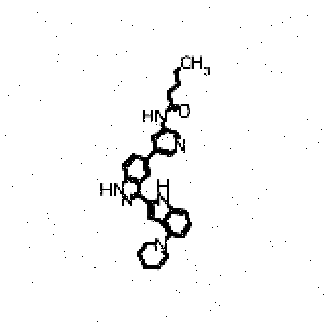 CCCCC(=O)Nc1cncc(-c2ccc3[nH]nc(-c4cc5c(N6CCCCC6)cccc5[nH]4)c3c2)c1